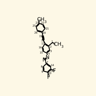 CCc1cc(N=Nc2ccc(F)c(F)c2)ccc1C#Cc1ccc(C)cc1